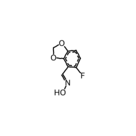 ON=Cc1c(F)ccc2c1OCO2